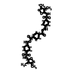 Cc1noc(NS(=O)(=O)c2ccc(NOC(=O)c3ccc(C(=O)ONc4ccc(S(=O)(=O)Nc5onc(C)c5C)cc4)cc3)cc2)c1C